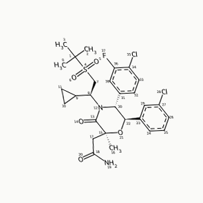 CC(C)(C)S(=O)(=O)C[C@H](C1CC1)N1C(=O)[C@](C)(CC(N)=O)O[C@H](c2cccc(Cl)c2)[C@H]1c1ccc(Cl)c(F)c1